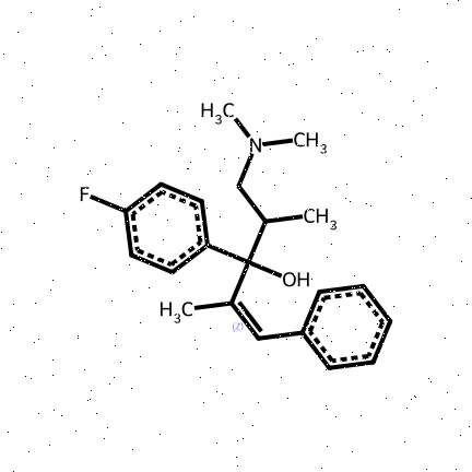 C/C(=C/c1ccccc1)C(O)(c1ccc(F)cc1)C(C)CN(C)C